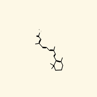 CC(C=CC1=C(C)CCCC1(C)C)=CC=CC(C)=CC(=O)N[S]